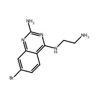 NCCNc1nc(N)nc2cc(Br)ccc12